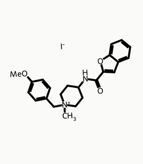 COc1ccc(C[N+]2(C)CCC(NC(=O)c3cc4ccccc4o3)CC2)cc1.[I-]